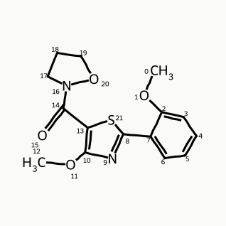 COc1ccccc1-c1nc(OC)c(C(=O)N2CCCO2)s1